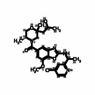 COc1cc(C(=O)N2CC(C)(CC(C)O)OC[C@H]2C)cc2nc(NC(C)c3cc(Cl)ccn3)oc12